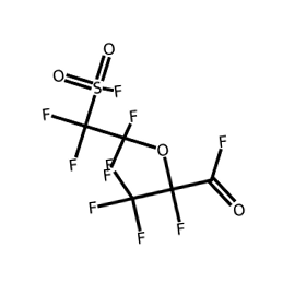 O=C(F)C(F)(OC(F)(F)C(F)(F)S(=O)(=O)F)C(F)(F)F